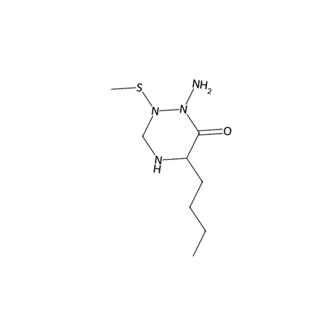 CCCCC1NCN(SC)N(N)C1=O